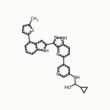 Cc1ccc(-c2cccc3[nH]c(-c4n[nH]c5ccc(-c6cncc(NC(O)C7CC7)c6)nc45)cc23)s1